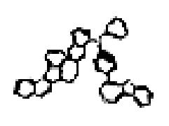 c1ccc(N(c2ccc(-c3cncc4c3oc3ccccc34)cc2)c2cccc3ccc(CCC4c5ccccc5-c5c4ccc4ccccc54)cc23)cc1